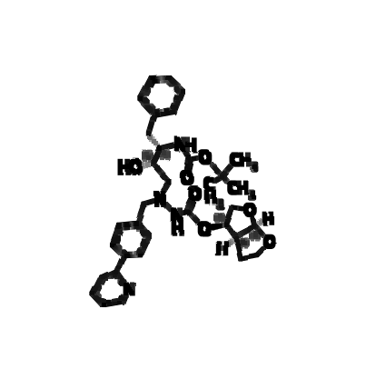 CC(C)(C)OC(=O)N[C@@H](Cc1ccccc1)[C@@H](O)CN(Cc1ccc(-c2ccccn2)cc1)NC(=O)O[C@H]1CO[C@H]2OCC[C@H]21